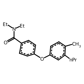 CCCc1cc(Oc2ccc(C(=O)N(CC)CC)cc2)ccc1C